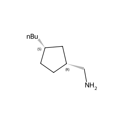 CCCC[C@H]1CC[C@@H](CN)C1